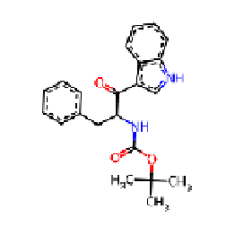 CC(C)(C)OC(=O)NC(Cc1ccccc1)C(=O)c1c[nH]c2ccccc12